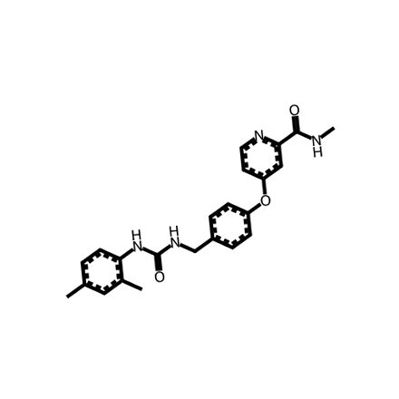 CNC(=O)c1cc(Oc2ccc(CNC(=O)Nc3ccc(C)cc3C)cc2)ccn1